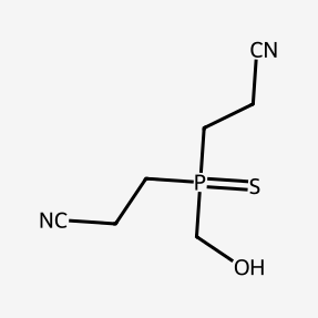 N#CCCP(=S)(CO)CCC#N